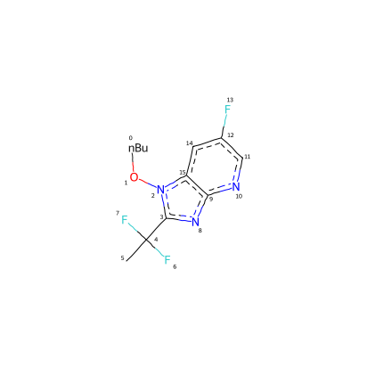 CCCCOn1c(C(C)(F)F)nc2ncc(F)cc21